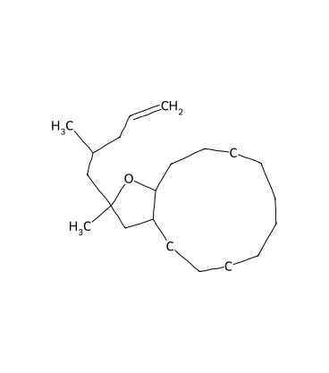 C=CCC(C)CC1(C)CC2CCCCCCCCCCC2O1